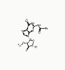 CC[C@H]1O[C@@H](n2cnc3c(=O)[nH]c(NC(=O)C(C)C)nc32)[C@H](OC(F)(F)F)C1=O